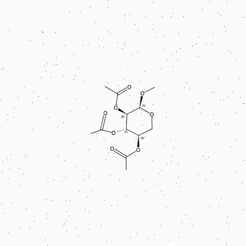 CO[C@H]1OC[C@@H](OC(C)=O)[C@H](OC(C)=O)[C@H]1OC(C)=O